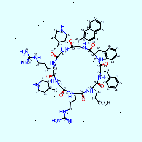 N=C(N)NCCC[C@H]1NC(=O)[C@H](CC2CCNCC2)NC(=O)[C@@H](CCCNC(=N)N)NC(=O)[C@H](CC2CCNCC2)NC(=O)[C@H](Cc2ccc3ccccc3c2)NC(=O)[C@@H](Cc2ccccc2)NC(=O)[C@H](Cc2ccccc2)NC(=O)[C@H](CCC(=O)O)NC1=O